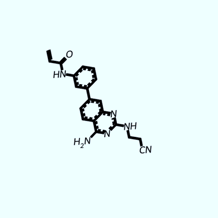 C=CC(=O)Nc1cccc(-c2ccc3c(N)nc(NCCC#N)nc3c2)c1